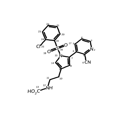 N#Cc1ncccc1-c1cc(CCNC(=O)O)cn1S(=O)(=O)c1ccccc1Cl